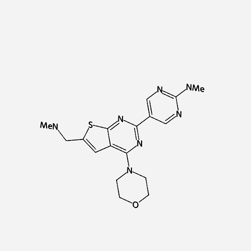 CNCc1cc2c(N3CCOCC3)nc(-c3cnc(NC)nc3)nc2s1